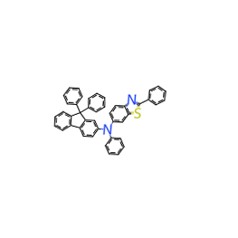 c1ccc(-c2nc3ccc(N(c4ccccc4)c4ccc5c(c4)C(c4ccccc4)(c4ccccc4)c4ccccc4-5)cc3s2)cc1